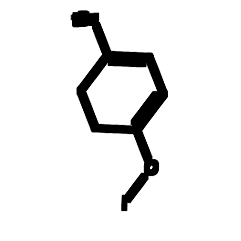 CC(C)(C)C1=CC=C(OI)CC1